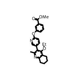 CCOc1c2c(nc(C)c1-c1ccc(Oc3cccc(C(=O)OC)c3)nc1)CCCC2